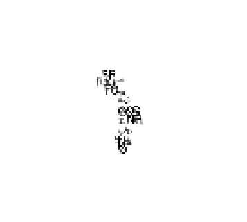 CC(F)(OCCCS(=O)(=O)NCCC[N+](C)(C)[O-])C(F)(F)F